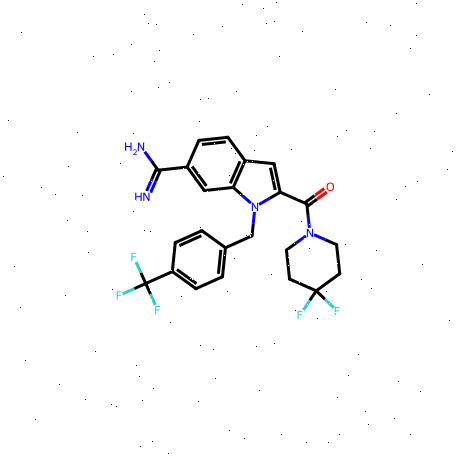 N=C(N)c1ccc2cc(C(=O)N3CCC(F)(F)CC3)n(Cc3ccc(C(F)(F)F)cc3)c2c1